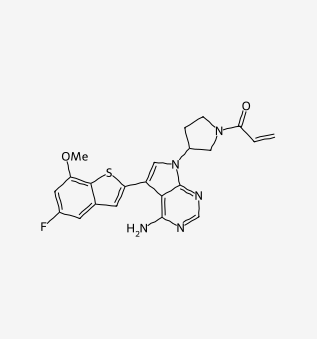 C=CC(=O)N1CCC(n2cc(-c3cc4cc(F)cc(OC)c4s3)c3c(N)ncnc32)C1